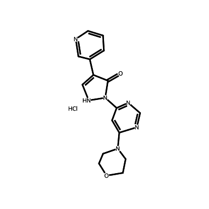 Cl.O=c1c(-c2cccnc2)c[nH]n1-c1cc(N2CCOCC2)ncn1